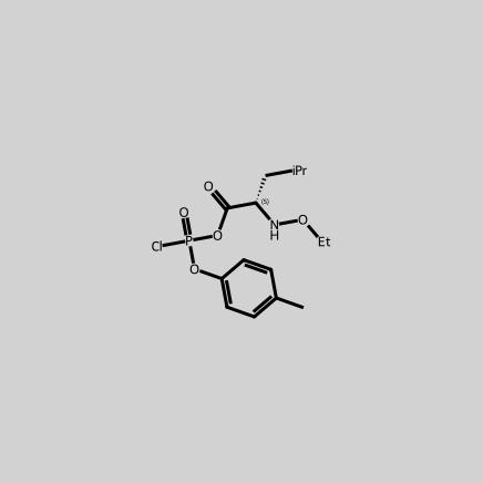 CCON[C@@H](CC(C)C)C(=O)OP(=O)(Cl)Oc1ccc(C)cc1